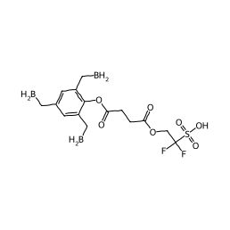 BCc1cc(CB)c(OC(=O)CCC(=O)OCC(F)(F)S(=O)(=O)O)c(CB)c1